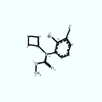 COC(=O)N(c1cccc(F)c1Br)C1CCC1